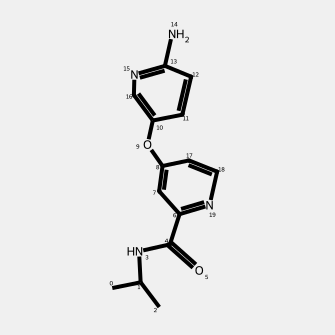 CC(C)NC(=O)c1cc(Oc2ccc(N)nc2)ccn1